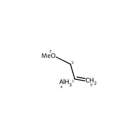 C=CCOC.[AlH3]